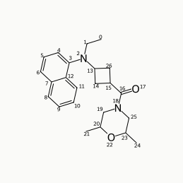 CCN(c1cccc2ccccc12)C1CC(C(=O)N2CC(C)OC(C)C2)C1